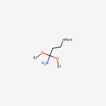 CCCCCCCC(N)(OCC)OCC